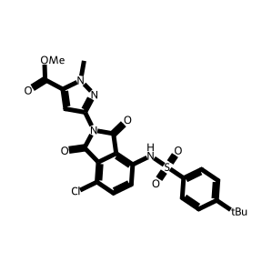 COC(=O)c1cc(N2C(=O)c3c(Cl)ccc(NS(=O)(=O)c4ccc(C(C)(C)C)cc4)c3C2=O)nn1C